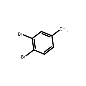 Cc1[c]cc(Br)c(Br)c1